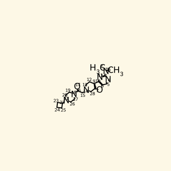 CN(C)c1ncc2oc3c(c2n1)CCN(CC(=O)N1CCN(C2CCC2)CC1)C3